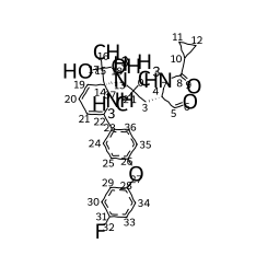 CC(C)(C[C@@H](C=O)NC(=O)C1CC1)N[C@@]1(C(C)(O)O)C=CC=C(c2ccc(Oc3ccc(F)cc3)cc2)N1